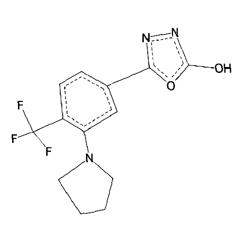 Oc1nnc(-c2ccc(C(F)(F)F)c(N3CCCC3)c2)o1